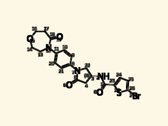 O=C(N[C@@H]1CC(=O)N(c2ccc(N3CCOCCC3=O)cc2)C1)c1ccc(Br)s1